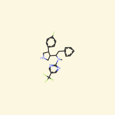 CN(c1ncc(C(F)(F)F)cn1)C(Cc1ccccc1)C1CNCC1c1ccc(F)cc1